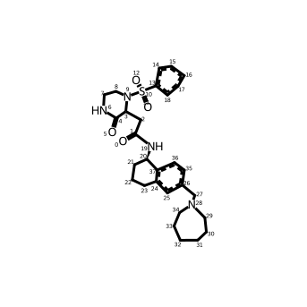 O=C(CC1C(=O)NCCN1S(=O)(=O)c1ccccc1)N[C@@H]1CCCc2cc(CN3CCCCCC3)ccc21